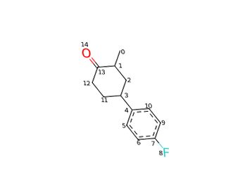 CC1CC(c2ccc(F)cc2)CCC1=O